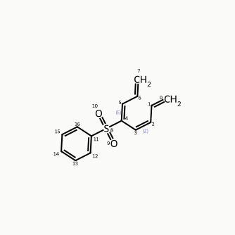 C=C/C=C\C(=C/C=C)S(=O)(=O)c1ccccc1